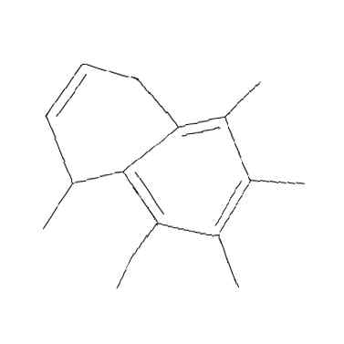 Cc1c(C)c(C)c2c(c1C)CC=CC2C